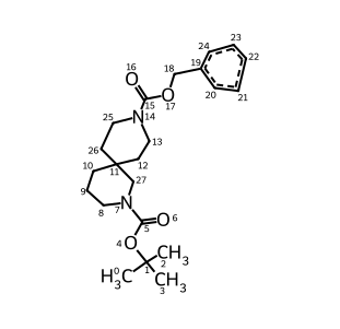 CC(C)(C)OC(=O)N1CCCC2(CCN(C(=O)OCc3ccccc3)CC2)C1